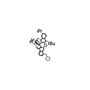 Cc1c2c(c(CC(C)(C)C)c3ccc(C(C)C)cc13)Oc1cc3c(CC4CCCC4)cccc3c3cc[n+](C)c-2c13